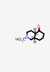 O=C1CCC[C@@H]2CN(C(=O)O)CC[C@H]12